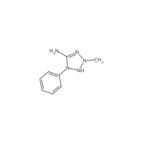 CN1N=C(N)N(c2ccccc2)N1